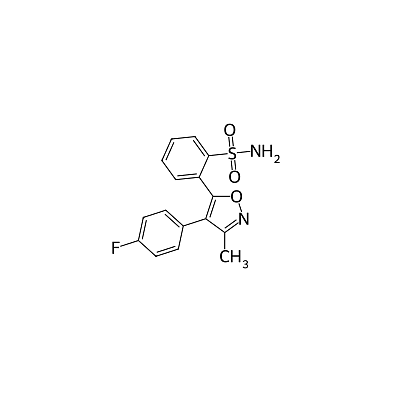 Cc1noc(-c2ccccc2S(N)(=O)=O)c1-c1ccc(F)cc1